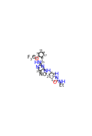 CCNC(=O)N[C@H]1CC[C@H](CNc2nc(NCc3ccccc3OC(F)(F)F)ncc2[N+](=O)[O-])CC1